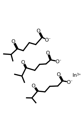 CC(C)C(=O)CCCC(=O)[O-].CC(C)C(=O)CCCC(=O)[O-].CC(C)C(=O)CCCC(=O)[O-].[In+3]